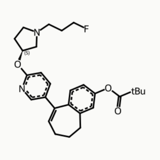 CC(C)(C)C(=O)Oc1ccc2c(c1)CCCC=C2c1ccc(O[C@H]2CCN(CCCF)C2)nc1